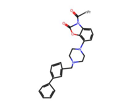 CCCC(=O)n1c(=O)oc2c(N3CCN(Cc4cccc(-c5ccccc5)c4)CC3)cccc21